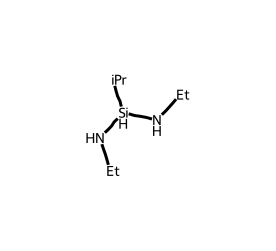 CCN[SiH](NCC)C(C)C